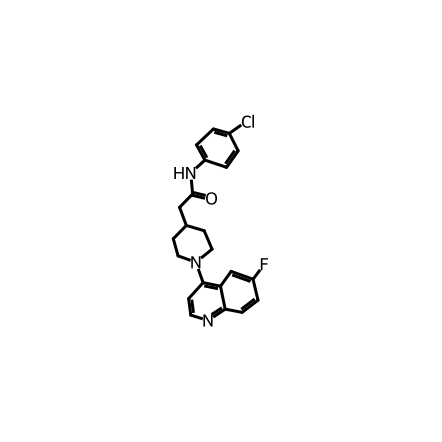 O=C(CC1CCN(c2ccnc3ccc(F)cc23)CC1)Nc1ccc(Cl)cc1